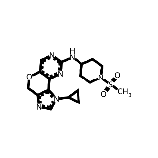 CS(=O)(=O)N1CCC(Nc2ncc3c(n2)-c2c(ncn2C2CC2)CO3)CC1